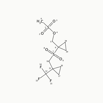 CS(=O)(=O)OCC1(S(=O)(=O)CC2(C(F)(F)F)CC2)CC1